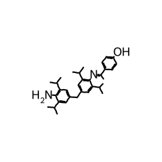 C/C(=N\c1c(C(C)C)cc(Cc2cc(C(C)C)c(N)c(C(C)C)c2)cc1C(C)C)c1ccc(O)cc1